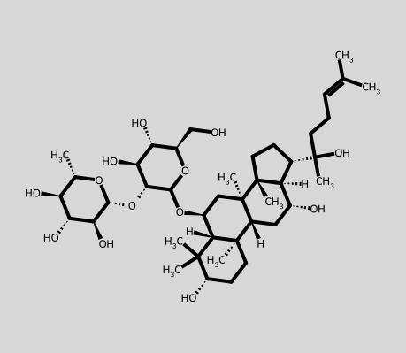 CC(C)=CCCC(C)(O)[C@H]1CC[C@]2(C)[C@@H]1[C@H](O)C[C@@H]1[C@@]3(C)CC[C@H](O)C(C)(C)[C@@H]3[C@@H](OC3O[C@H](CO)[C@@H](O)[C@H](O)[C@H]3O[C@H]3O[C@@H](C)[C@H](O)[C@@H](O)[C@@H]3O)C[C@]12C